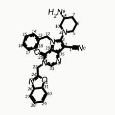 N#Cc1c(N2CCC[C@H](N)C2)n(Cc2ccccc2)c2c(=O)n(CC3=NC4C=CC=CC4O3)cnc12